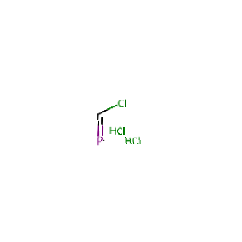 Cl.Cl.[P]=CCl